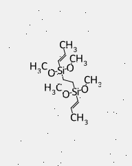 CC=C[Si](CC[Si](C=CC)(OC)OC)(OC)OC